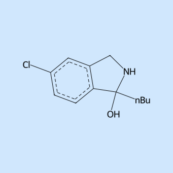 CCCCC1(O)NCc2cc(Cl)ccc21